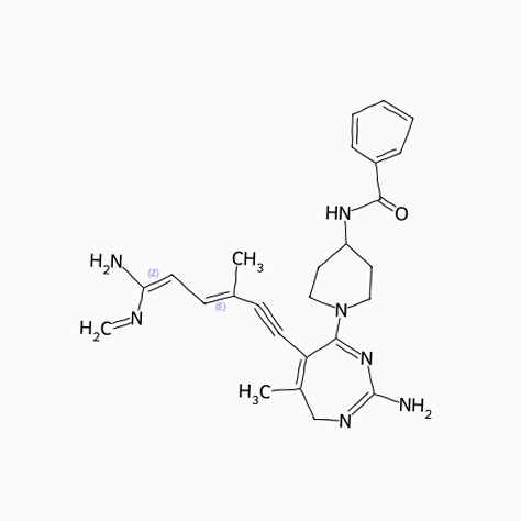 C=N/C(N)=C\C=C(/C)C#CC1=C(C)CN=C(N)N=C1N1CCC(NC(=O)c2ccccc2)CC1